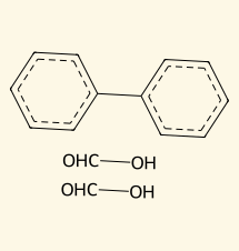 O=CO.O=CO.c1ccc(-c2ccccc2)cc1